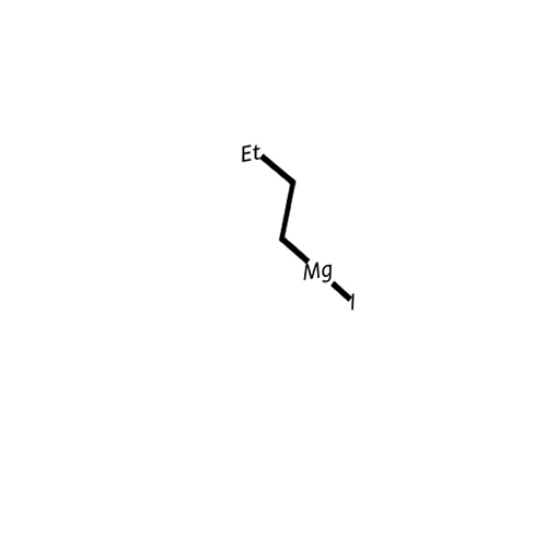 CCC[CH2][Mg][I]